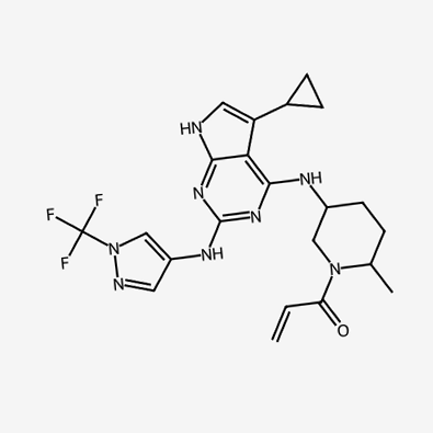 C=CC(=O)N1CC(Nc2nc(Nc3cnn(C(F)(F)F)c3)nc3[nH]cc(C4CC4)c23)CCC1C